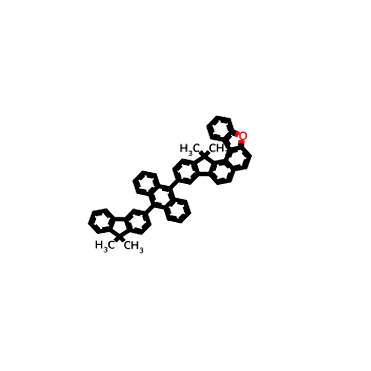 CC1(C)c2ccccc2-c2cc(-c3c4ccccc4c(-c4ccc5c(c4)-c4ccc6ccc7oc8ccccc8c7c6c4C5(C)C)c4ccccc34)ccc21